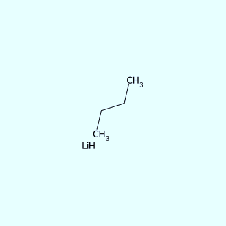 CCCC.[LiH]